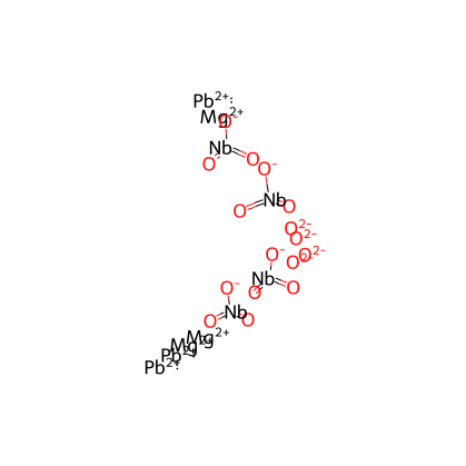 [Mg+2].[Mg+2].[Mg+2].[O-2].[O-2].[O-2].[O-2].[O]=[Nb](=[O])[O-].[O]=[Nb](=[O])[O-].[O]=[Nb](=[O])[O-].[O]=[Nb](=[O])[O-].[Pb+2].[Pb+2].[Pb+2]